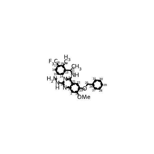 COc1cc2nc(NN)nc(N[C@H](C)c3cccc(C(F)(F)F)c3C)c2cc1OCc1ccccc1